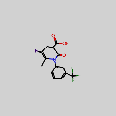 Cc1c(I)cc(C(=O)O)c(=O)n1-c1cccc(C(F)(F)F)c1